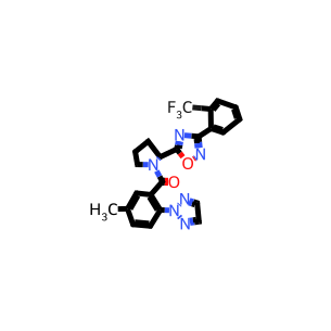 Cc1ccc(-n2nccn2)c(C(=O)N2CCCC2c2nc(-c3ccccc3C(F)(F)F)no2)c1